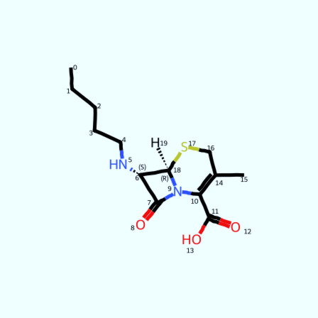 CCCCCN[C@H]1C(=O)N2C(C(=O)O)=C(C)CS[C@H]12